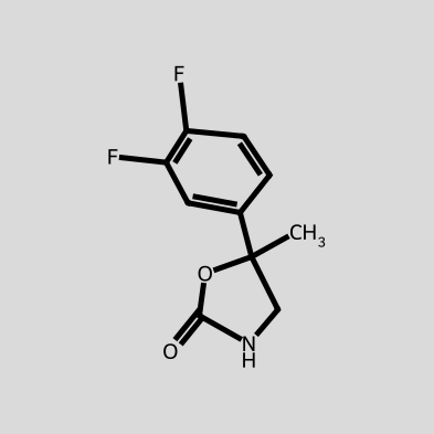 CC1(c2ccc(F)c(F)c2)CNC(=O)O1